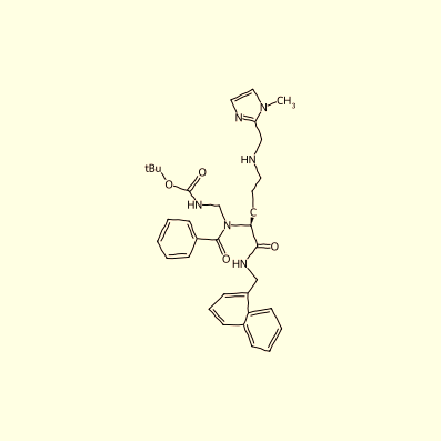 Cn1ccnc1CNCCC[C@@H](C(=O)NCc1cccc2ccccc12)N(CNC(=O)OC(C)(C)C)C(=O)c1ccccc1